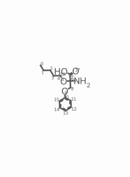 CCCCCOC(N)(COc1ccccc1)C(=O)O